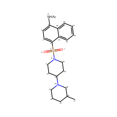 CC(=O)Nc1ccc(S(=O)(=O)N2CCC(N3CCCC(C)C3)CC2)c2ccccc12